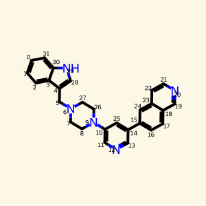 c1ccc2c(CN3CCN(c4cncc(-c5ccc6cnccc6c5)c4)CC3)c[nH]c2c1